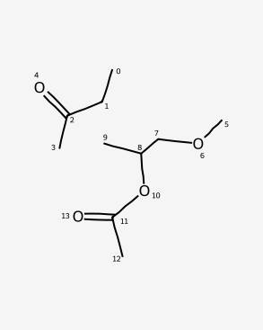 CCC(C)=O.COCC(C)OC(C)=O